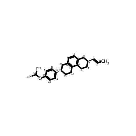 CC=C[C@H]1CCc2c(ccc3c2CC[C@H](c2ccc(OC(F)F)cc2)C3)C1